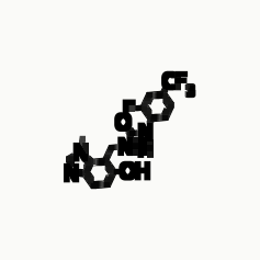 Cn1cnc2ccc(O)c(CNC(=O)Nc3ccc(C(F)(F)F)cc3F)c21